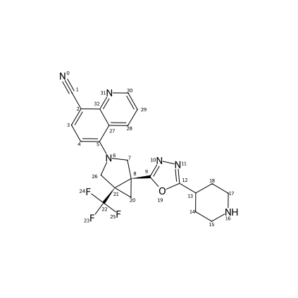 N#Cc1ccc(N2C[C@]3(c4nnc(C5CCNCC5)o4)C[C@]3(C(F)(F)F)C2)c2cccnc12